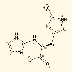 Cc1nc(C[C@H](Nc2ncc[nH]2)C(=O)O)c[nH]1